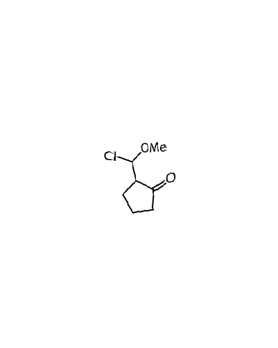 COC(Cl)C1CCCC1=O